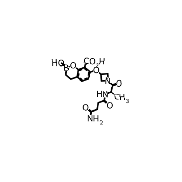 C[C@@H](NC(=O)CCC(N)=O)C(=O)N1CC(Oc2ccc3c(c2C(=O)O)OB(O)CC3)C1